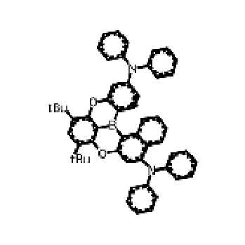 CC(C)(C)c1cc(C(C)(C)C)c2c3c1Oc1cc(N(c4ccccc4)c4ccccc4)c4ccccc4c1B3c1c(cc(N(c3ccccc3)c3ccccc3)c3ccccc13)O2